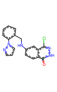 O=c1[nH]nc(Cl)c2cc(NCc3ccccc3-n3cccn3)ccc12